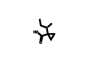 CCN(C)C1(C(=O)O)CC1